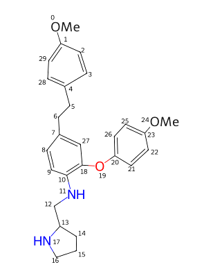 COc1ccc(CCc2ccc(NCC3CCCN3)c(Oc3ccc(OC)cc3)c2)cc1